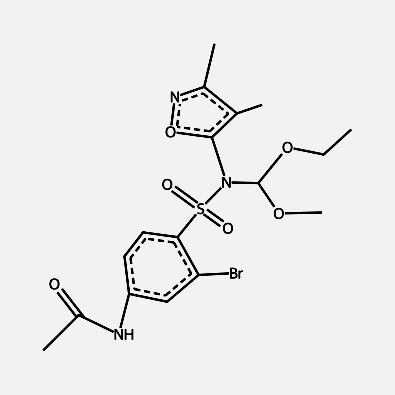 CCOC(OC)N(c1onc(C)c1C)S(=O)(=O)c1ccc(NC(C)=O)cc1Br